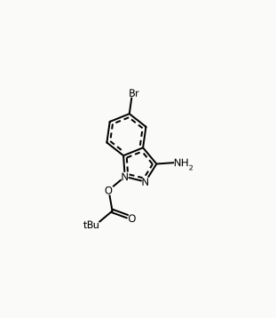 CC(C)(C)C(=O)On1nc(N)c2cc(Br)ccc21